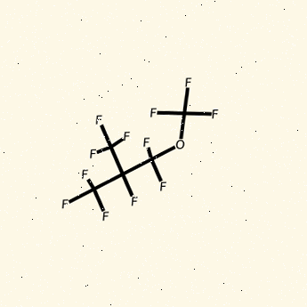 FC(F)(F)OC(F)(F)C(F)(C(F)(F)F)C(F)(F)F